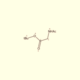 CC(=O)N[CH]C(=O)OC(C)(C)C